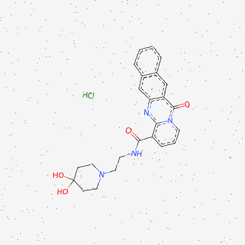 Cl.O=C(NCCN1CCC(O)(O)CC1)c1cccn2c(=O)c3cc4ccccc4cc3nc12